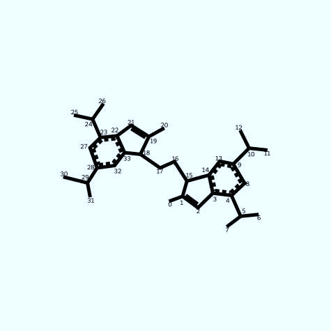 CC1=Cc2c(C(C)C)cc(C(C)C)cc2C1[CH]CC1C(C)=Cc2c(C(C)C)cc(C(C)C)cc21